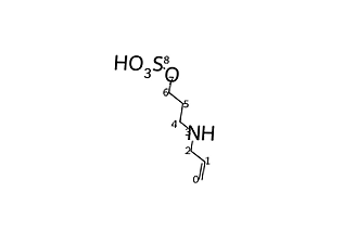 C=CCNCCCOS(=O)(=O)O